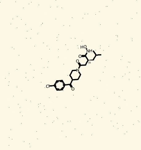 CC(C)C[C@@H](CC(=O)N1CCC(C(=O)c2ccc(Cl)cc2)CC1)C(=O)NO